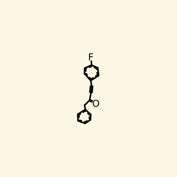 O=C(C#Cc1ccc(F)cc1)Cc1ccccc1